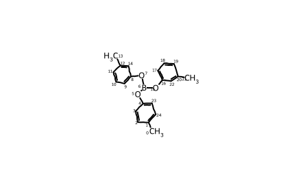 Cc1ccc(OB(Oc2cccc(C)c2)Oc2cccc(C)c2)cc1